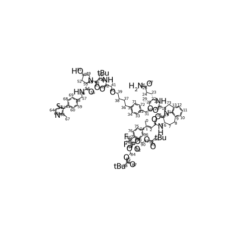 C/C(=C\C(=O)N[C@H]1CCc2cccc3c2N(C1=O)[C@H](C(=O)N[C@@H](CCC(N)=O)[C@@H](C)OCc1ccc(CCCCOCC(=O)N[C@H](C(=O)N2C[C@H](O)C[C@H]2C(=O)NCc2ccc(-c4scnc4C)cc2)C(C)(C)C)cc1)C3)c1ccc(C(F)(F)P(=O)(OCOC(=O)C(C)(C)C)OCOC(=O)C(C)(C)C)cc1